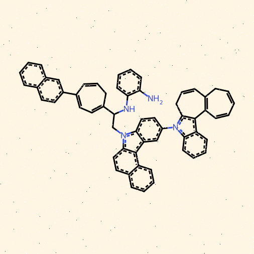 Nc1ccccc1NC(Cn1c2ccc(-n3c4c(c5ccccc53)C3=C(C=CC4)CC=CC=C3)cc2c2c3ccccc3ccc21)C1=CC=C(c2ccc3ccccc3c2)C=CC1